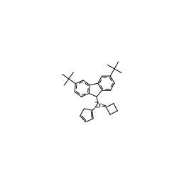 CC(C)(C)c1ccc2c(c1)-c1cc(C(C)(C)C)ccc1[CH]2[Zr]([C]1=CC=CC1)=[C]1CCC1